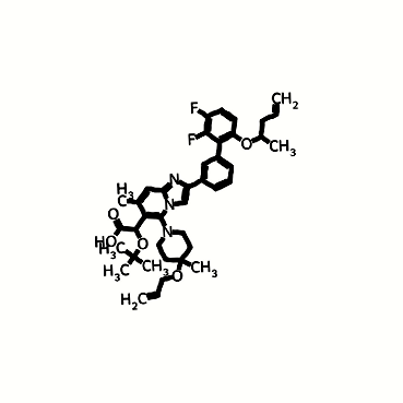 C=CCOC1(C)CCN(c2c(C(OC(C)(C)C)C(=O)O)c(C)cc3nc(-c4cccc(-c5c(OC(C)CC=C)ccc(F)c5F)c4)cn23)CC1